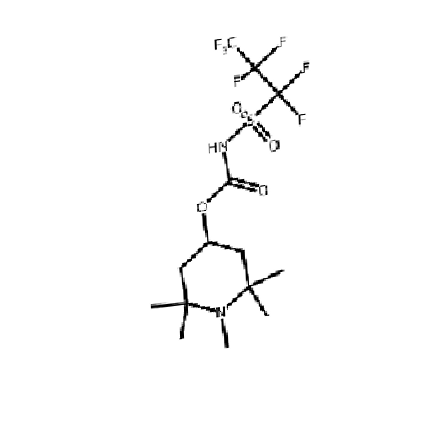 CN1C(C)(C)CC(OC(=O)NS(=O)(=O)C(F)(F)C(F)(F)C(F)(F)F)CC1(C)C